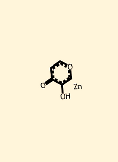 O=c1ccocc1O.[Zn]